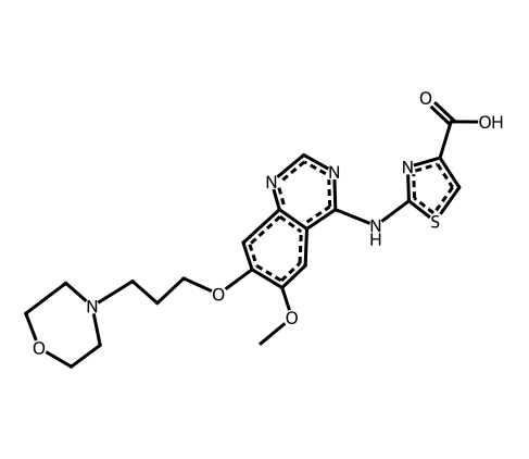 COc1cc2c(Nc3nc(C(=O)O)cs3)ncnc2cc1OCCCN1CCOCC1